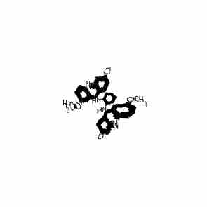 COc1ccc2nc3cc(Cl)ccc3c(N[C@H]3CCCC[C@@H]3Nc3c4ccc(Cl)cc4nc4ccc(OC)cc34)c2c1